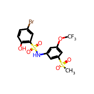 CS(=O)(=O)c1cc(NS(=O)(=O)c2cc(Br)ccc2O)cc(OC(F)(F)F)c1